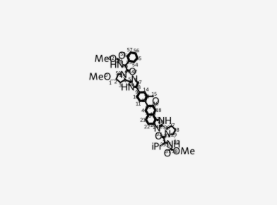 COC[C@H]1CC(c2ncc(-c3ccc4c(c3)COc3cc5c(ccc6nc([C@@H]7CC[C@H](C)N7C(=O)C(NC(=O)OC)C(C)C)[nH]c65)cc3-4)[nH]2)N(C(=O)C(NC(=O)OC)c2ccccc2)C1